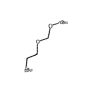 CC(C)(C)CCOCOC(C)(C)C